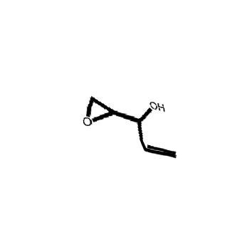 C=CC(O)C1CO1